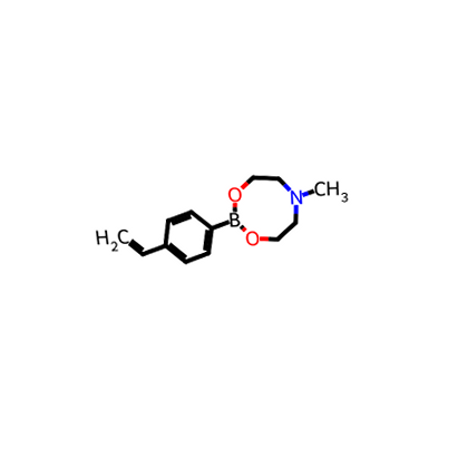 C=Cc1ccc(B2OCCN(C)CCO2)cc1